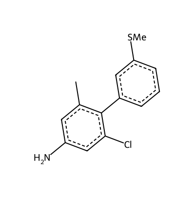 CSc1cccc(-c2c(C)cc(N)cc2Cl)c1